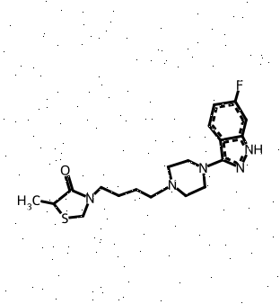 CC1SCN(CCCCN2CCN(c3n[nH]c4cc(F)ccc34)CC2)C1=O